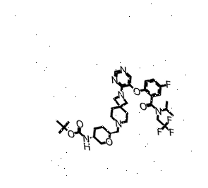 CC(C)N(CC(F)(F)F)C(=O)c1cc(F)ccc1Oc1cncnc1N1CC2(CCN(C[C@@H]3CC[C@@H](NC(=O)OC(C)(C)C)CO3)CC2)C1